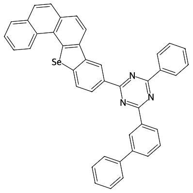 c1ccc(-c2cccc(-c3nc(-c4ccccc4)nc(-c4ccc5[se]c6c(ccc7ccc8ccccc8c76)c5c4)n3)c2)cc1